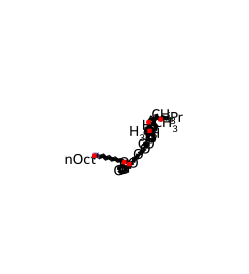 CCCCCCCC/C=C\CCCCCCCCOCC(CN1CCOCC1)OCCOCCOC(=O)O[C@H]1CCC2(C)C(=CCC3[C@@H]2CCC2(C)C(C(C)CCCC(C)C)CC[C@@H]32)C1